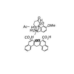 CC(C)=O.COc1ccc2c3c1O[C@H]1C(=O)CC[C@H]4[C@@H](C2)N(C)CC[C@]314.O=C(O)c1cc2ccccc2c(Cc2c(O)c(C(=O)O)cc3ccccc23)c1O